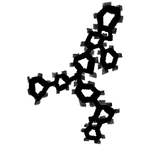 c1ccc(-c2ccc(N(c3ccc(-c4ccc5c(sc6ccccc65)c4-c4ccccc4)cc3)c3ccc(-c4cccc5c4sc4ccccc45)cc3)cc2)cc1